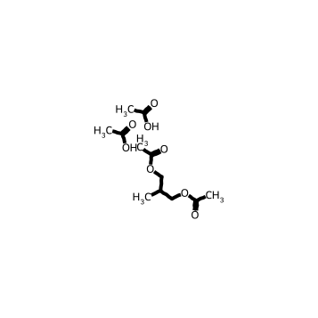 CC(=O)O.CC(=O)O.CC(=O)OCC(C)COC(C)=O